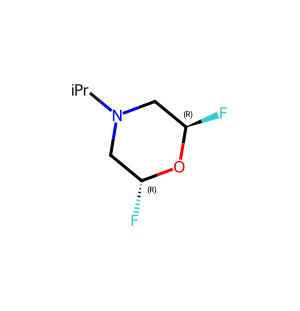 CC(C)N1C[C@@H](F)O[C@H](F)C1